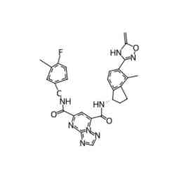 C=C1NC(c2ccc3c(c2C)CC[C@@H]3NC(=O)c2cc(C(=O)NCc3ccc(F)c(C)c3)nc3ncnn23)=NO1